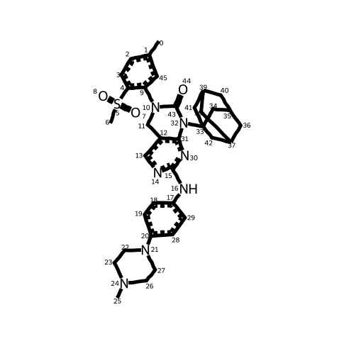 Cc1ccc(S(C)(=O)=O)c(N2Cc3cnc(Nc4ccc(N5CCN(C)CC5)cc4)nc3N(C34CC5CC(CC(C5)C3)C4)C2=O)c1